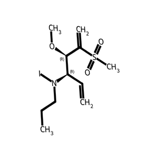 C=C[C@H]([C@@H](OC)C(=C)S(C)(=O)=O)N(I)CCC